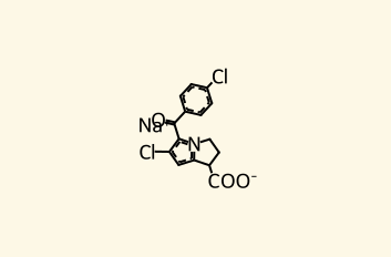 O=C(c1ccc(Cl)cc1)c1c(Cl)cc2n1CCC2C(=O)[O-].[Na+]